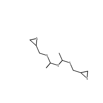 CC(SCC1CS1)SC(C)SCC1CS1